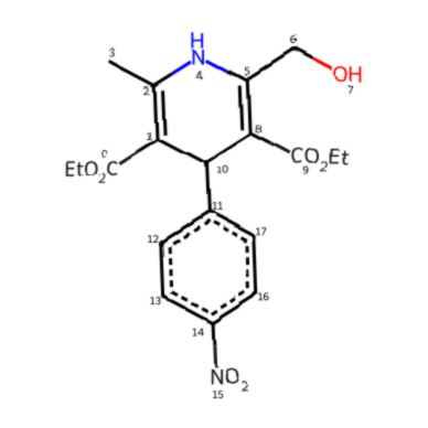 CCOC(=O)C1=C(C)NC(CO)=C(C(=O)OCC)C1c1ccc([N+](=O)[O-])cc1